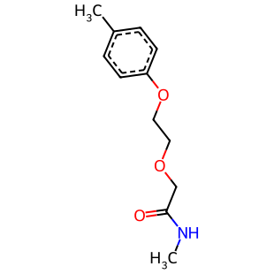 CNC(=O)COCCOc1ccc(C)cc1